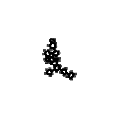 N#Cc1ccc(-c2cccc3c2-c2ccccc2C32c3ccccc3Sc3c(-c4nc(-c5ccccc5)cc(-c5ccc(-c6ccccc6)cc5)n4)cccc32)cc1